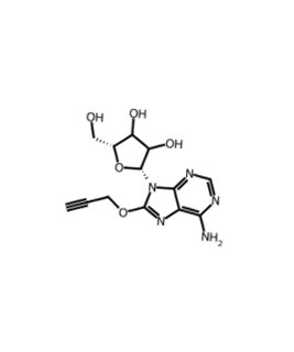 C#CCOc1nc2c(N)ncnc2n1[C@@H]1O[C@H](CO)C(O)C1O